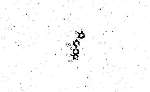 C[C@@H]1OCC2(CCN(c3ncc(Sc4ccnc(Cl)c4Cl)nc3[S+](C)[O-])CC2)[C@@H]1N